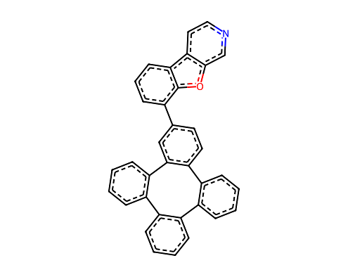 c1ccc2c(c1)-c1ccccc1-c1ccc(-c3cccc4c3oc3cnccc34)cc1-c1ccccc1-2